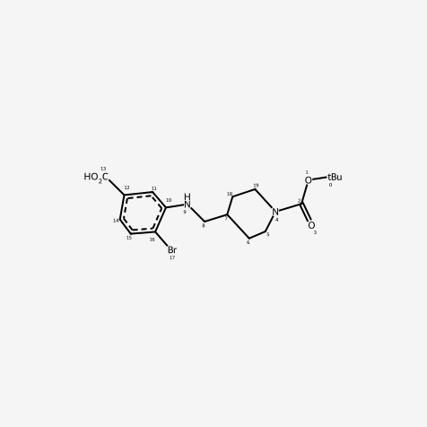 CC(C)(C)OC(=O)N1CCC(CNc2cc(C(=O)O)ccc2Br)CC1